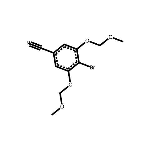 COCOc1cc(C#N)cc(OCOC)c1Br